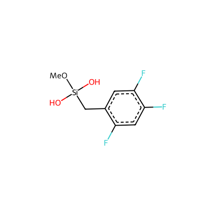 CO[Si](O)(O)Cc1cc(F)c(F)cc1F